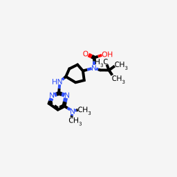 CN(C)c1ccnc(NC2CCC(N(CC(C)(C)C)C(=O)O)CC2)n1